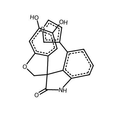 O=C1Nc2cccc(-c3ccoc3)c2C12COc1cc(O)c(O)cc12